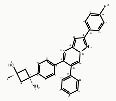 C[C@]1(O)C[C@@](N)(c2ccc(-c3nc4cc(-c5ccc(F)cc5)nn4cc3-c3ccccc3)cc2)C1